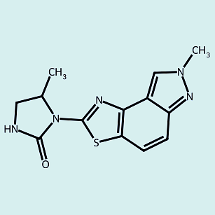 CC1CNC(=O)N1c1nc2c(ccc3nn(C)cc32)s1